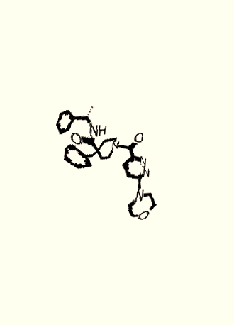 C[C@H](NC(=O)C1(c2ccccc2)CCN(C(=O)c2ccc(N3CCOCC3)nn2)CC1)c1ccccc1